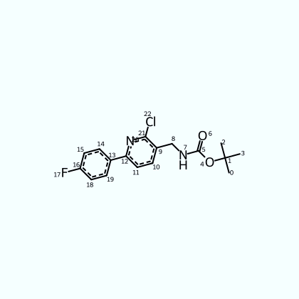 CC(C)(C)OC(=O)NCc1ccc(-c2ccc(F)cc2)nc1Cl